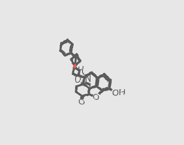 O=C1CC[C@@]2(OCCCc3ccccc3)[C@H]3Cc4ccc(O)c5c4[C@@]2(CCN3CC2CCC2)C1O5